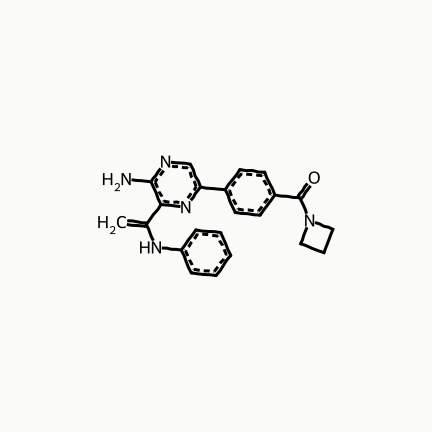 C=C(Nc1ccccc1)c1nc(-c2ccc(C(=O)N3CCC3)cc2)cnc1N